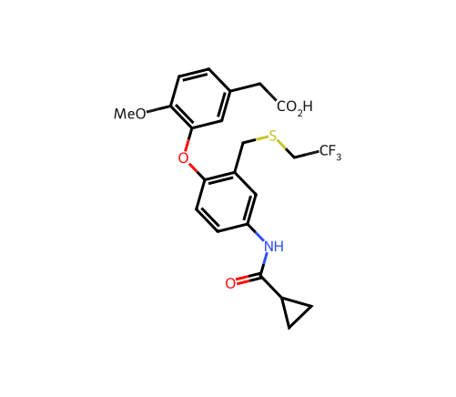 COc1ccc(CC(=O)O)cc1Oc1ccc(NC(=O)C2CC2)cc1CSCC(F)(F)F